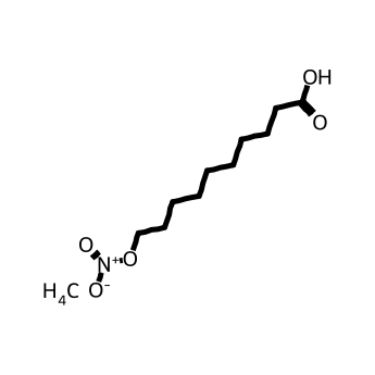 C.O=C(O)CCCCCCCCCO[N+](=O)[O-]